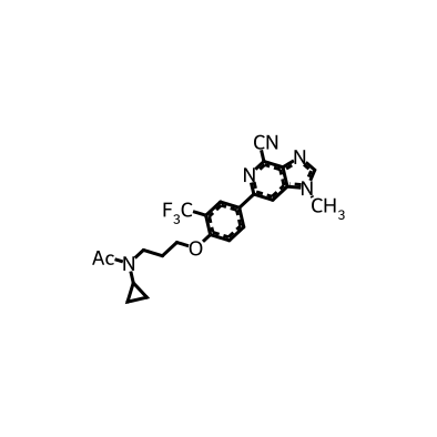 CC(=O)N(CCCOc1ccc(-c2cc3c(ncn3C)c(C#N)n2)cc1C(F)(F)F)C1CC1